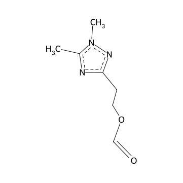 Cc1nc(CCOC=O)nn1C